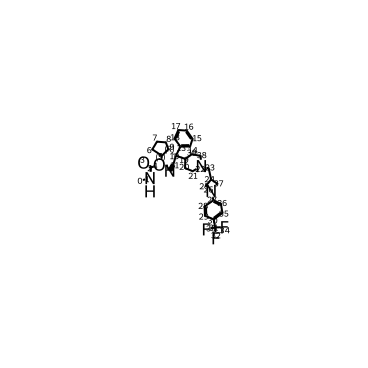 CNC(=O)O[C@H]1CCC[C@@H]1C(C#N)(c1ccccc1)C1CCN(CC2CN(c3ccc(C(F)(F)F)cc3)C2)CC1